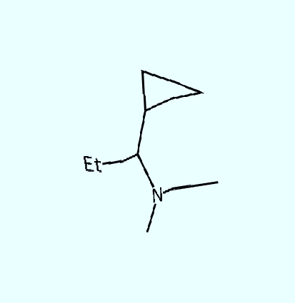 CCC(C1CC1)N(C)C